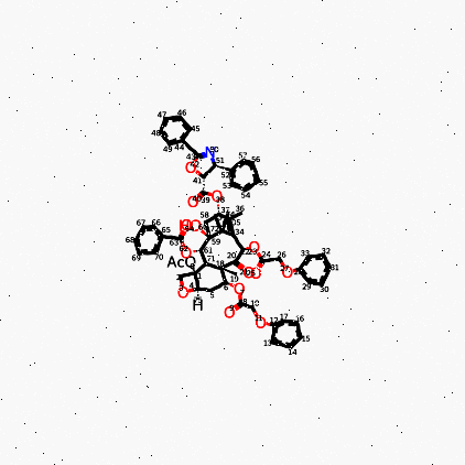 CC(=O)O[C@@]12CO[C@@H]1C[C@H](OC(=O)COc1ccccc1)[C@@]1(C)C(=O)[C@H](OC(=O)COc3ccccc3)C3=C(C)[C@@H](OC(=O)[C@@H]4OC(c5ccccc5)=N[C@H]4c4ccccc4)C[C@@](O)([C@@H](OC(=O)c4ccccc4)C12)C3(C)C